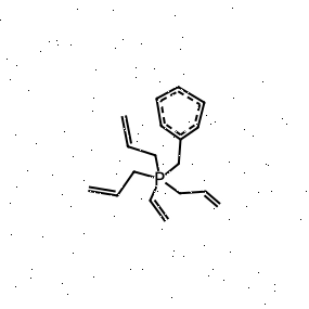 C=CCP(C=C)(CC=C)(CC=C)Cc1ccccc1